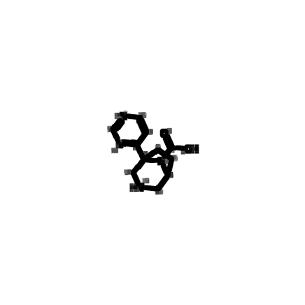 O=C(O)N1C2CCC1(c1ccncn1)CNC2